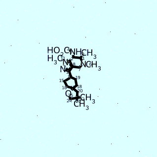 CC(CNC(=O)O)N(C)Cc1cn(C)nc1C1CCC2(CC1)CC(C)(C)CO2